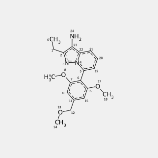 CCc1nn2c(-c3c(OC)cc(COC)cc3OC)cccc2c1N